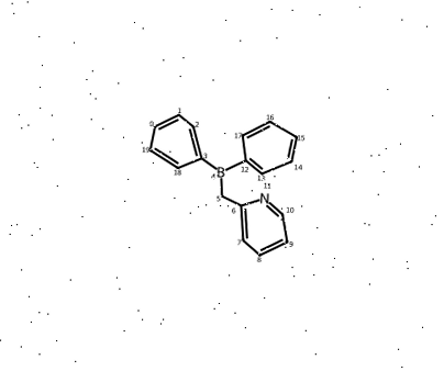 c1ccc(B(Cc2ccccn2)c2ccccc2)cc1